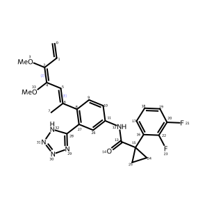 C=C/C(OC)=C(\C=C(/C)c1ccc(NC(=O)C2(c3cccc(F)c3F)CC2)cc1-c1nnn[nH]1)OC